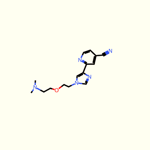 CN(C)CCOCCn1cnc(-c2cc(C#N)ccn2)c1